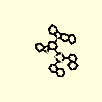 c1ccc2cc3c(cc2c1)c1ccccc1n3-c1cc(-c2nc(-c3cccc4ccccc34)nc(-c3cccc4ccccc34)n2)c2oc3ccccc3c2c1